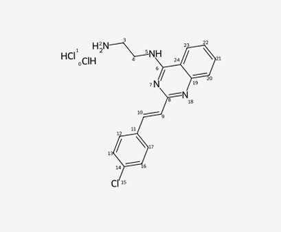 Cl.Cl.NCCNc1nc(C=Cc2ccc(Cl)cc2)nc2ccccc12